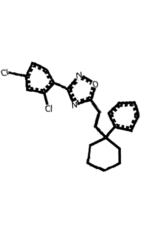 Clc1ccc(-c2noc(CCC3(c4ccccc4)CCCCC3)n2)c(Cl)c1